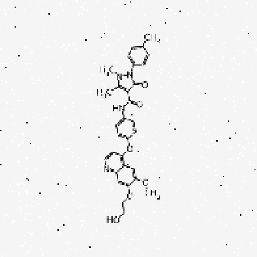 COc1cc2c(Oc3ccc(NC(=O)c4c(C)n(C)n(-c5ccc(C)cc5)c4=O)cc3)ccnc2cc1OCCO